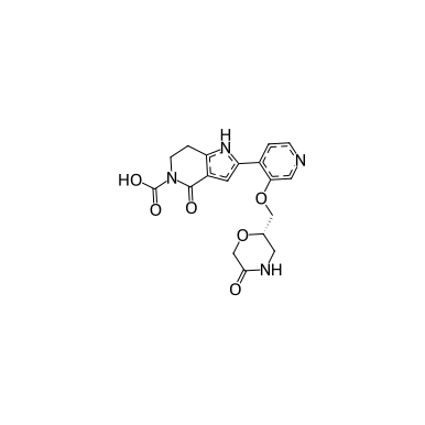 O=C1CO[C@H](COc2cnccc2-c2cc3c([nH]2)CCN(C(=O)O)C3=O)CN1